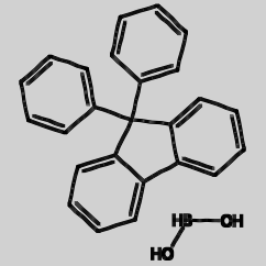 OBO.c1ccc(C2(c3ccccc3)c3ccccc3-c3ccccc32)cc1